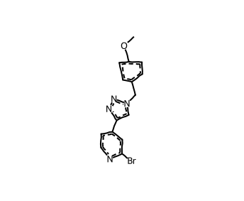 COc1ccc(Cn2cc(-c3ccnc(Br)c3)nn2)cc1